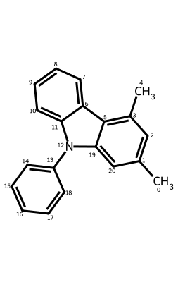 Cc1cc(C)c2c3ccccc3n(-c3ccccc3)c2c1